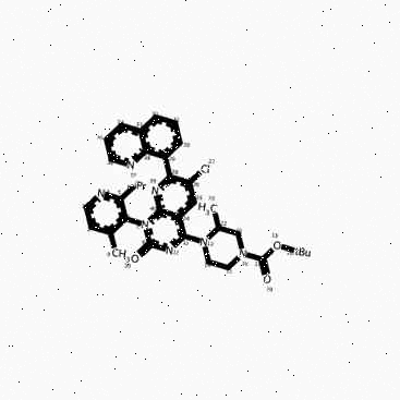 Cc1ccnc(C(C)C)c1-n1c(=O)nc(N2CCN(C(=O)OC(C)(C)C)CC2C)c2cc(Cl)c(-c3cccc4cccnc34)nc21